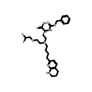 O=C(N[C@@H](CCN(CCCCc1ccc2c(n1)NCCC2)CCOCC(F)F)C(=O)O)OCc1ccccc1